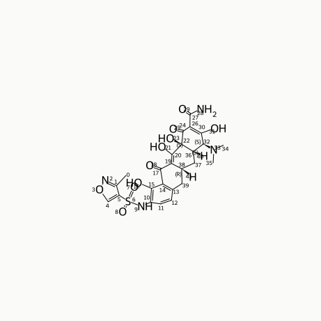 Cc1nocc1S(=O)(=O)Nc1ccc2c(c1O)C(=O)C1=C(O)[C@]3(O)C(=O)C(C(N)=O)=C(O)[C@@H](N(C)C)[C@@H]3C[C@@H]1C2